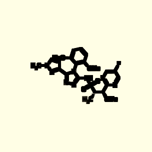 COc1cccc(OC)c1-n1c(NS(=O)(=O)[C@@H](C)[C@H](OC)c2ncc(F)cn2)nnc1-c1ccn(C)n1